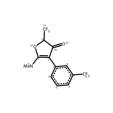 CNC1=C(c2cccc(C(F)(F)F)c2)C(=O)C(C(F)(F)F)O1